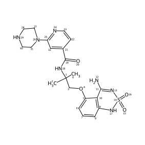 CC(C)(COc1cccc2c1C(N)=NS(=O)(=O)N2)NC(=O)c1ccnc(N2CCNCC2)c1